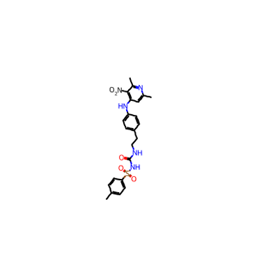 Cc1ccc(S(=O)(=O)NC(=O)NCCc2ccc(Nc3cc(C)nc(C)c3[N+](=O)[O-])cc2)cc1